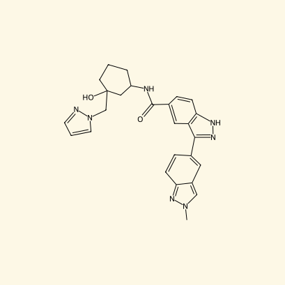 Cn1cc2cc(-c3n[nH]c4ccc(C(=O)NC5CCCC(O)(Cn6cccn6)C5)cc34)ccc2n1